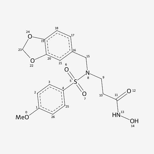 COc1ccc(S(=O)(=O)N(CCC(=O)NO)Cc2ccc3c(c2)OCO3)cc1